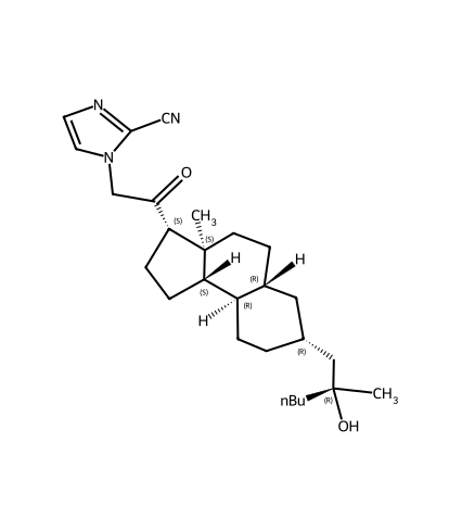 CCCC[C@@](C)(O)C[C@@H]1CC[C@@H]2[C@H](CC[C@]3(C)[C@@H](C(=O)Cn4ccnc4C#N)CC[C@@H]23)C1